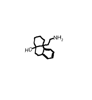 NCCC12CCCCC1(O)CCc1ccccc12